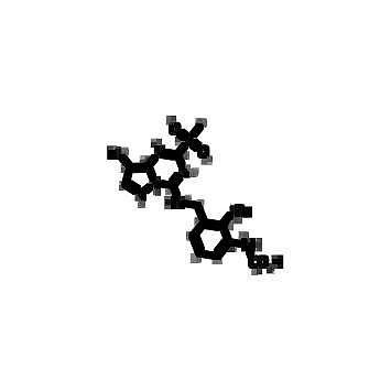 CCc1cnn2c(NCc3cccc(NC(=O)O)c3C(C)(C)C)nc(S(C)(=O)=O)nc12